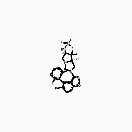 CS(=O)(=O)N[C@@H]1CN2C(=O)N(c3noc4ccc(F)c(-c5c(F)cccc5F)c34)C[C@@H]2C1(F)F